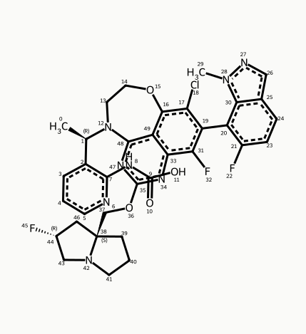 C[C@H](c1cccnc1NC(=O)O)N1CCOc2c(Cl)c(-c3c(F)ccc4cnn(C)c34)c(F)c3nc(OC[C@@]45CCCN4C[C@H](F)C5)nc1c23